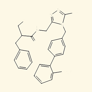 CCCc1nnc(CNC(=O)C(CS)Cc2ccccc2)n1Cc1ccc(-c2ccccc2C(=O)O)cc1